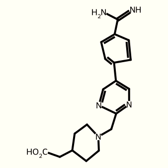 N=C(N)c1ccc(-c2cnc(CN3CCC(CC(=O)O)CC3)nc2)cc1